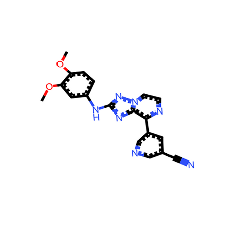 COc1ccc(Nc2nc3c(-c4cncc(C#N)c4)nccn3n2)cc1OC